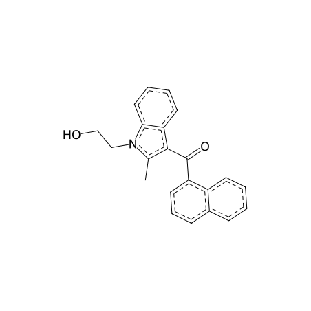 Cc1c(C(=O)c2cccc3ccccc23)c2ccccc2n1CCO